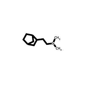 C[Si](C)CCC1CC2CCC1C2